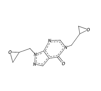 O=c1c2cnn(CC3CO3)c2ncn1CC1CO1